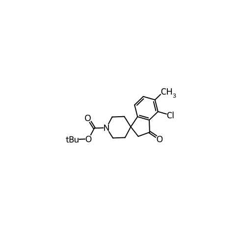 Cc1ccc2c(c1Cl)C(=O)CC21CCN(C(=O)OC(C)(C)C)CC1